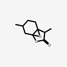 CC1CCC23OC2(C1)OC(=O)C3C